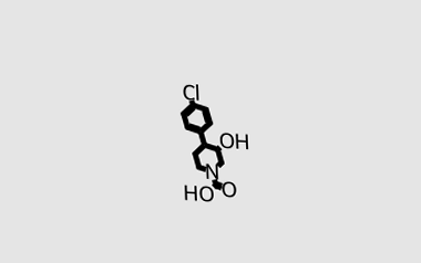 O=C(O)N1CCC(c2ccc(Cl)cc2)C(O)C1